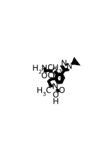 C[C@H]1CCc2c(ccc(-c3cnn(C4CC4)c3)c2OC(C)(C)C(N)=O)N1C(=O)O